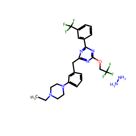 CCN1CCN(c2cccc(Cc3nc(OCC(F)(F)F)nc(-c4cccc(C(F)(F)F)c4)n3)c2)CC1.NN